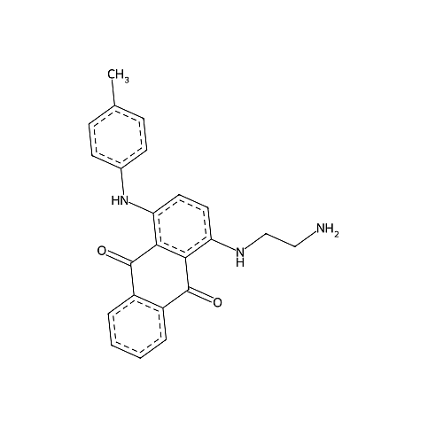 Cc1ccc(Nc2ccc(NCCN)c3c2C(=O)c2ccccc2C3=O)cc1